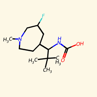 CN1CCC(C(NC(=O)O)C(C)(C)C)CC(F)C1